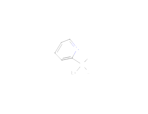 CC[Si](CC)(CC)c1ccccn1